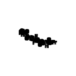 CC(C)OC(=O)NC[C@H]1CN(c2cc(F)c(N3CCN(C(=O)CNC(=O)c4cccnc4)CC3)c(F)c2)C(=O)O1